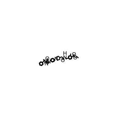 CCOC(=O)c1ccc(CNC(=O)CC2CCN(c3ccc(-n4cnn(C(C)c5ccccc5)c4=O)cc3)CC2)cc1C